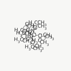 CC(C)(C)c1ccc(N2c3cc4c(cc3B3c5c2cc(-c2ccc6c(c2)C(C)(C)CCC6(C)C)cc5N(c2ccc(C(C)(C)C)cc2)c2sc5c(c23)C(C)(C)CCC5(C)C)C(C)(C)CCC4(C)C)cc1